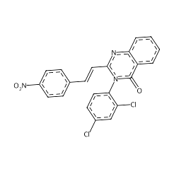 O=c1c2ccccc2nc(/C=C/c2ccc([N+](=O)[O-])cc2)n1-c1ccc(Cl)cc1Cl